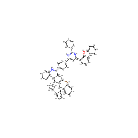 c1ccc(-c2nc(-c3ccc(-c4nc5ccccc5c5cc6c(cc45)Sc4ccccc4C64c5ccccc5-c5ccccc54)cc3)cc(-c3cccc4c3oc3ccccc34)n2)cc1